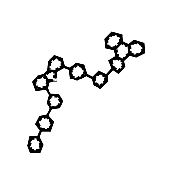 c1ccc(-c2ccc(-c3cccc(-c4cccc5c4oc4c(-c6ccc(-c7cccc(-c8ccc9c%10ccccc%10c%10ccccc%10c9c8)c7)cc6)cccc45)c3)cc2)cc1